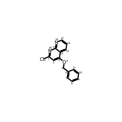 Clc1cc(OCc2ccccc2)c2cccnc2n1